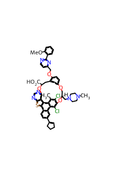 COc1ccccc1-c1nccc(COc2ccc3cc2CC(C(=O)O)Oc2ncnc4sc5c6ccc(C7=CCCC7)cc6c6c(Cl)c(c(Cl)c(C)c6c5c24)O[C@H](CN2CCN(C)CC2)CO3)n1